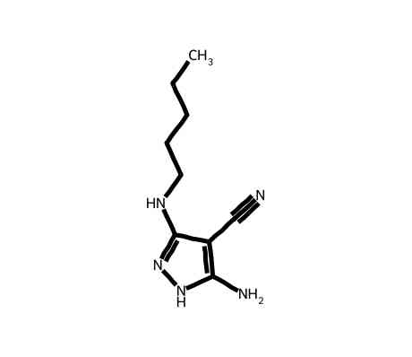 CCCCCNc1n[nH]c(N)c1C#N